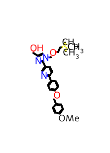 COc1ccc(COc2ccc(-c3ccc(-c4nc(CO)cn4COCCS(C)(C)C)cn3)cc2)cc1